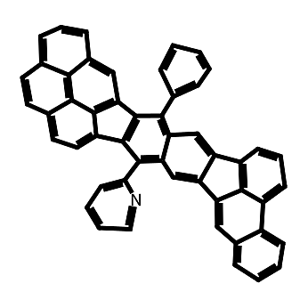 c1ccc(-c2c3cc4c(cc3c(-c3ccccn3)c3c5ccc6ccc7cccc8cc(c23)c5c6c78)c2cc3ccccc3c3cccc4c32)cc1